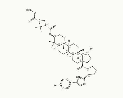 CCCCOC(=O)[C@@H]1C[C@H](C(=O)O[C@H]2CC[C@]3(C)[C@H]4CC[C@@H]5[C@H]6[C@H](C(C)C)CC[C@]6(C(=O)N6CCC[C@H]6c6ncc(-c7ccc(F)cc7)[nH]6)CC[C@@]5(C)[C@]4(C)CC[C@H]3C2(C)C)C1(C)C